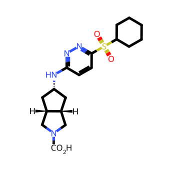 O=C(O)N1C[C@H]2C[C@@H](Nc3ccc(S(=O)(=O)C4CCCCC4)nn3)C[C@H]2C1